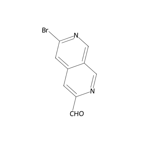 O=Cc1cc2cc(Br)ncc2cn1